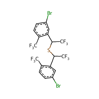 FC(F)(F)c1ccc(Br)cc1C(SC(c1cc(Br)ccc1C(F)(F)F)C(F)(F)F)C(F)(F)F